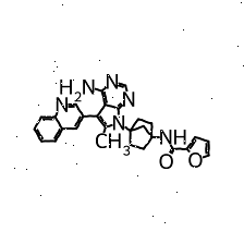 Cc1c(-c2cnc3ccccc3c2)c2c(N)ncnc2n1C12CCC(NC(=O)c3ccco3)(CC1)C2